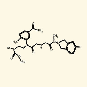 CCN(CCN(C(=O)CNCC(=O)N(C)N1Cc2ccc(F)cc2C1)c1cc(C(N)=O)ccc1C)C(=O)OC(C)(C)C